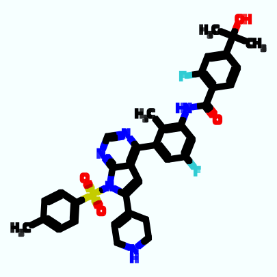 Cc1ccc(S(=O)(=O)n2c(C3=CCNCC3)cc3c(-c4cc(F)cc(NC(=O)c5ccc(C(C)(C)O)cc5F)c4C)ncnc32)cc1